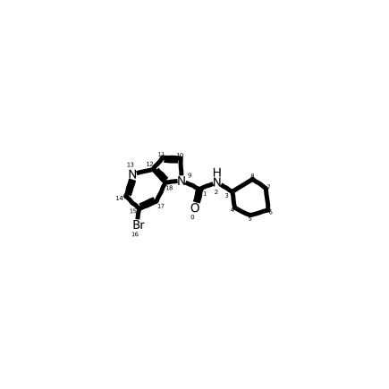 O=C(NC1CCCCC1)n1ccc2ncc(Br)cc21